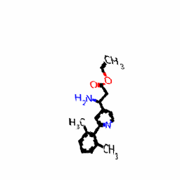 CCOC(=O)CC(N)c1ccnc(-c2c(C)cccc2C)c1